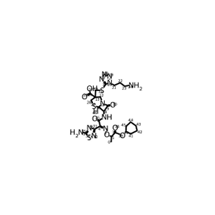 CC(ON=C(C(=O)NC1C(=O)N2CC(CSc3nnnn3CCCN)(C(=O)O)CS[C@H]12)c1nsc(N)n1)C(=O)OC1CCCCC1